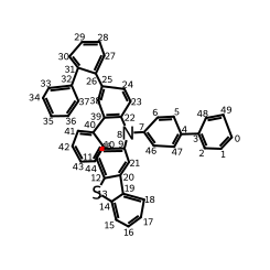 c1ccc(-c2ccc(N(c3ccc4sc5ccccc5c4c3)c3ccc(-c4ccccc4-c4ccccc4)cc3-c3ccccc3)cc2)cc1